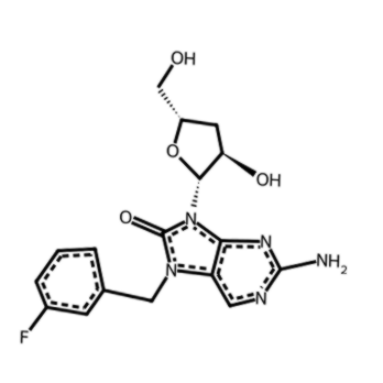 Nc1ncc2c(n1)n([C@@H]1O[C@H](CO)C[C@H]1O)c(=O)n2Cc1cccc(F)c1